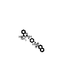 NNc1nc(NC[C@H]2CC[C@H](CNS(=O)(=O)c3ccc4ccccc4c3)CC2)nc2ccccc12